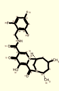 CC1C[C@H]2CN(C(=O)c3c(O)c(=O)c(C(=O)NCc4c(F)cc(F)cc4F)cn32)[C@@H](C)C1